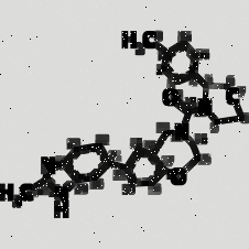 Cc1ccc(C2CCCCN2C(=O)N2CCOc3ccc(-c4ccc5nc(C)[nH]c5c4)cc3C2)cc1